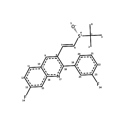 CC(C)(C)[S@@+]([O-])/C=C/c1cc2ccc(F)cc2nc1-c1cccc(F)c1